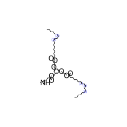 CCCCC/C=C\C/C=C\C=C\CCCCCC(=O)OCCOc1cc(COC(=O)CCCNC)cc(OCCOC(=O)CCCCCCC/C=C\C/C=C\CCCCC)c1